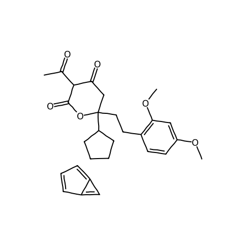 COc1ccc(CCC2(C3CCCC3)CC(=O)C(C(C)=O)C(=O)O2)c(OC)c1.c1cc2cc-2c1